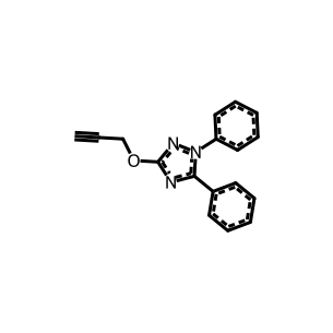 C#CCOc1nc(-c2ccccc2)n(-c2ccccc2)n1